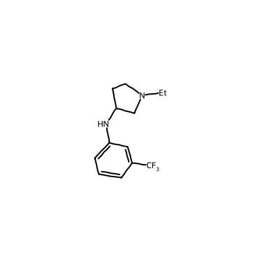 CCN1CCC(Nc2cccc(C(F)(F)F)c2)C1